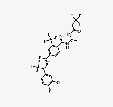 C[C@H](NC(=O)CC(F)(F)F)NC(=O)c1ccc(/C(F)=C/C(c2ccc(F)c(Cl)c2)C(F)(F)F)cc1C(F)(F)F